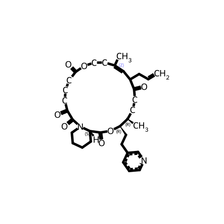 C=CCC1/C=C(/C)CCOC(=O)CCCC(=O)C(=O)N2CCCC[C@H]2C(=O)O[C@H](CCc2cccnc2)[C@H](C)CCC1=O